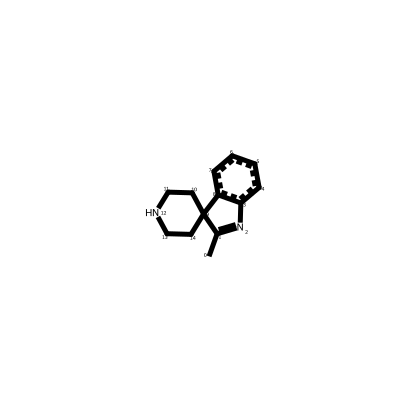 CC1=Nc2ccccc2C12CCNCC2